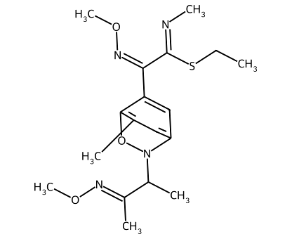 CCSC(=NC)C(=NOC)c1cc2cc(C)c1ON2C(C)C(C)=NOC